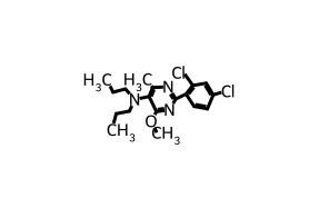 CCCN(CCC)c1c(C)nc(-c2ccc(Cl)cc2Cl)nc1OC